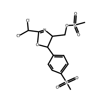 CS(=O)(=O)OCC1N=C(C(Cl)Cl)OC1c1ccc(S(C)(=O)=O)cc1